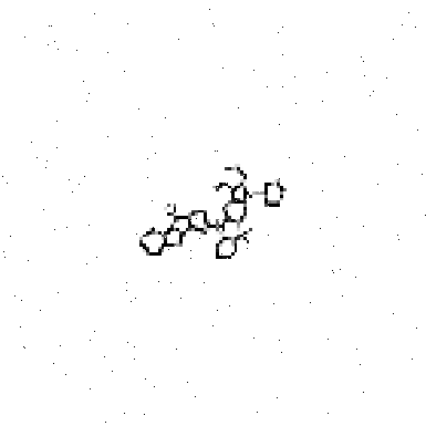 C=Cc1c(/C=C\C)n(-c2ccccc2)c2cc3c(cc12)N(c1ccc2c(c1)-c1cc4cccccc-4c1C2=O)c1ccccc1C3(C)C